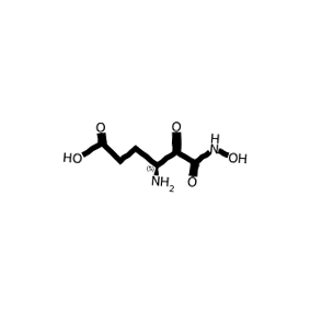 N[C@@H](CCC(=O)O)C(=O)C(=O)NO